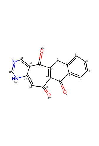 O=C1c2ccccc2Cc2c1c(=O)cc1[nH]cncc-1c2=O